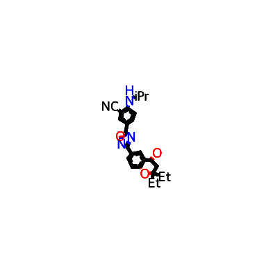 CCC1(CC)CC(=O)c2cc(-c3noc(-c4ccc(NC(C)C)c(C#N)c4)n3)ccc2O1